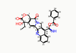 CCC1(O)C(=O)OCc2c1cc1n(c2=O)Cc2c-1nc1ccccc1c2C(=N)OC(=O)c1ccccc1